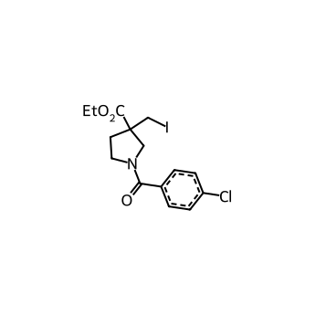 CCOC(=O)C1(CI)CCN(C(=O)c2ccc(Cl)cc2)C1